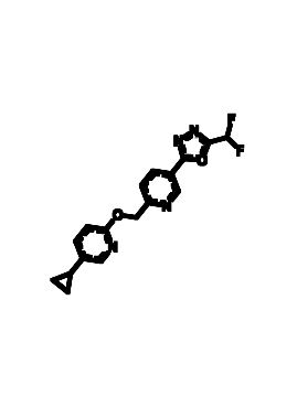 FC(F)c1nnc(-c2ccc(COc3ccc(C4CC4)cn3)nc2)o1